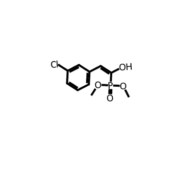 COP(=O)(OC)C(O)=Cc1cccc(Cl)c1